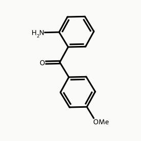 COc1ccc(C(=O)c2ccccc2N)cc1